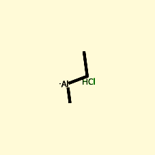 C[CH2][Al][CH3].Cl